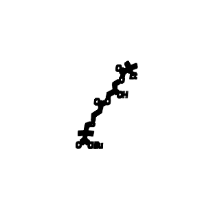 CCC(C)(C)C(=O)OCC(O)COC(=O)CCSCC(C)(C)C(=O)OCC(C)C